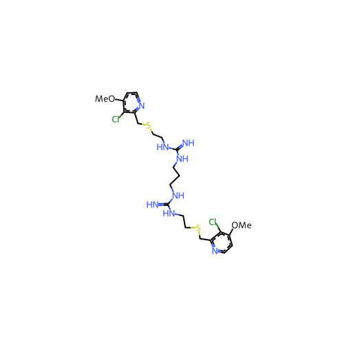 COc1ccnc(CSCCNC(=N)NCCCNC(=N)NCCSCc2nccc(OC)c2Cl)c1Cl